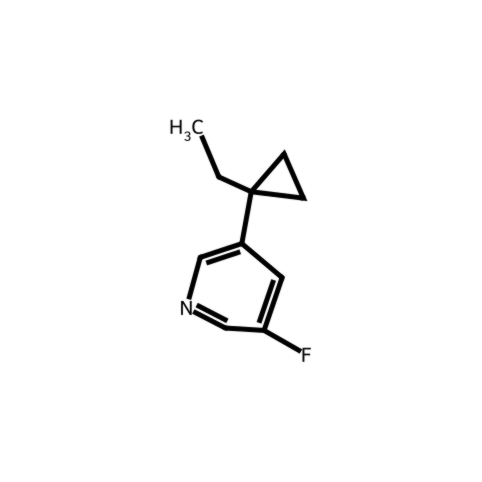 CCC1(c2cncc(F)c2)CC1